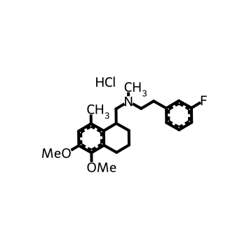 COc1cc(C)c2c(c1OC)CCCC2CN(C)CCc1cccc(F)c1.Cl